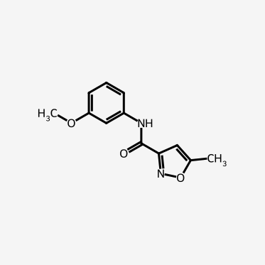 COc1cccc(NC(=O)c2cc(C)on2)c1